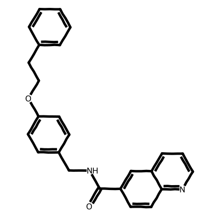 O=C(NCc1ccc(OCCc2ccccc2)cc1)c1ccc2ncccc2c1